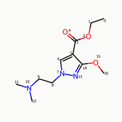 CCOC(=O)c1cn(CCN(C)C)nc1OC